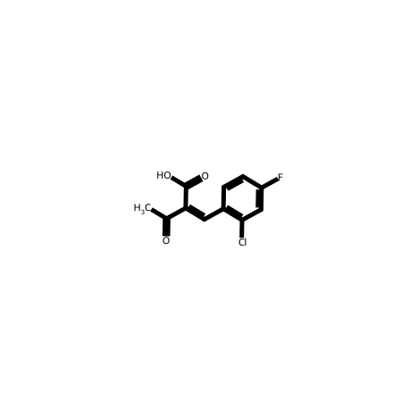 CC(=O)C(=Cc1ccc(F)cc1Cl)C(=O)O